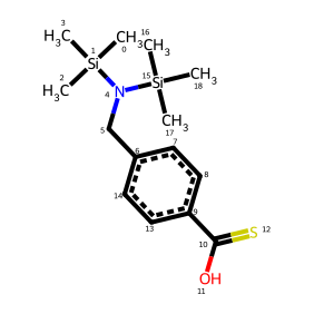 C[Si](C)(C)N(Cc1ccc(C(O)=S)cc1)[Si](C)(C)C